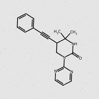 CC1(C)NC(=O)N(c2ncccn2)CC1C#Cc1ccccc1